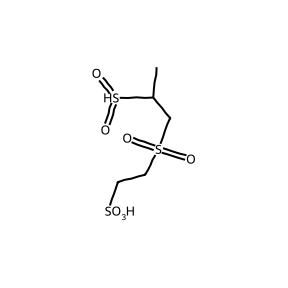 CC(CS(=O)(=O)CCS(=O)(=O)O)[SH](=O)=O